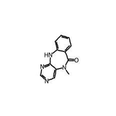 CN1C(=O)c2ccccc2Nc2ncncc21